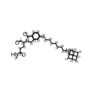 CNC(=O)CCC(C=O)N1Cc2cc(SCCCCCCCNC34CC5CC6CC(C3)C654)ccc2C1=O